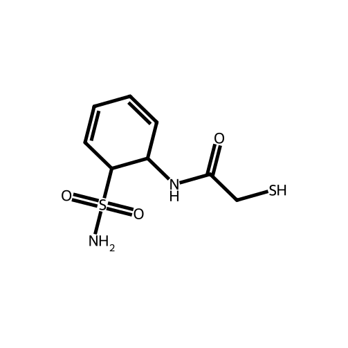 NS(=O)(=O)C1C=CC=CC1NC(=O)CS